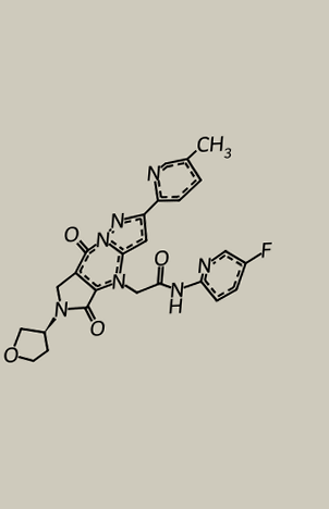 Cc1ccc(-c2cc3n(CC(=O)Nc4ccc(F)cn4)c4c(c(=O)n3n2)CN([C@H]2CCOC2)C4=O)nc1